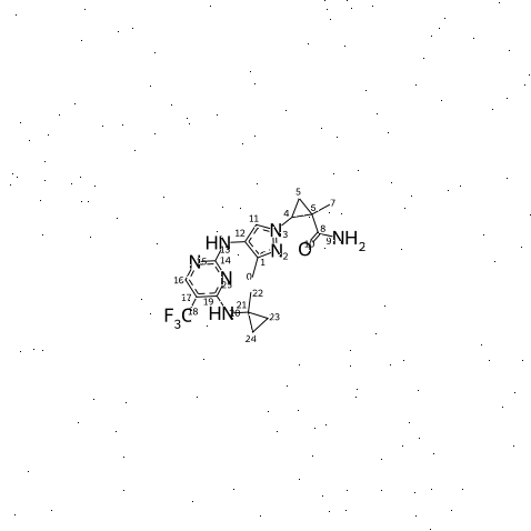 Cc1nn(C2CC2(C)C(N)=O)cc1Nc1ncc(C(F)(F)F)c(NC2(C)CC2)n1